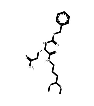 COC(CCCNC(=O)[C@H](CCC(N)=O)NC(=O)OCc1ccccc1)OC